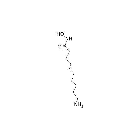 NCCCCCCCCCC(=O)NO